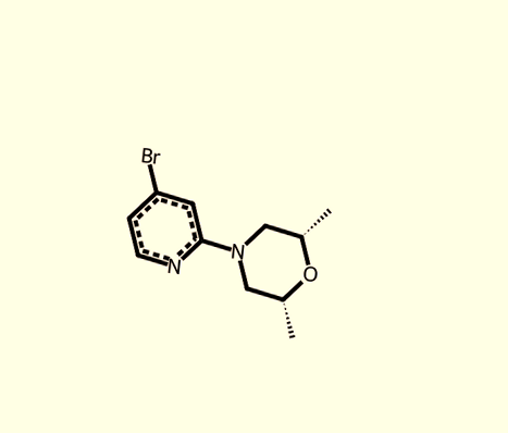 C[C@@H]1CN(c2cc(Br)ccn2)C[C@H](C)O1